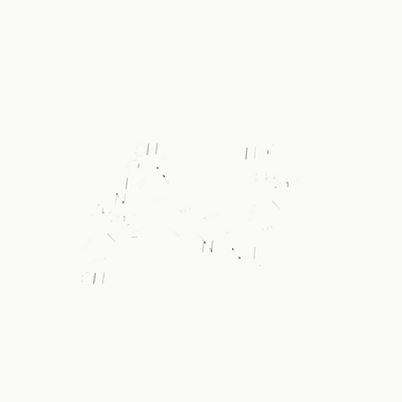 CCS(=O)(=O)c1cccc(-c2cc3cc(-c4cnc(OC)c(NS(=O)(=O)c5ccc(C)cc5F)c4)ccc3nc2N)c1